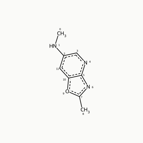 CNc1cnc2nc(C)oc2c1